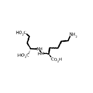 NCCCC[C@H](NN[C@@H](CCC(=O)O)C(=O)O)C(=O)O